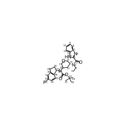 CCN(C(=O)c1nc2ccccc2[nH]1)[C@H]1COCC(N(C(=O)OC(C)(C)C)[C@@H]2CCc3cc(F)ccc32)C1